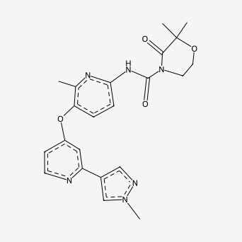 Cc1nc(NC(=O)N2CCOC(C)(C)C2=O)ccc1Oc1ccnc(-c2cnn(C)c2)c1